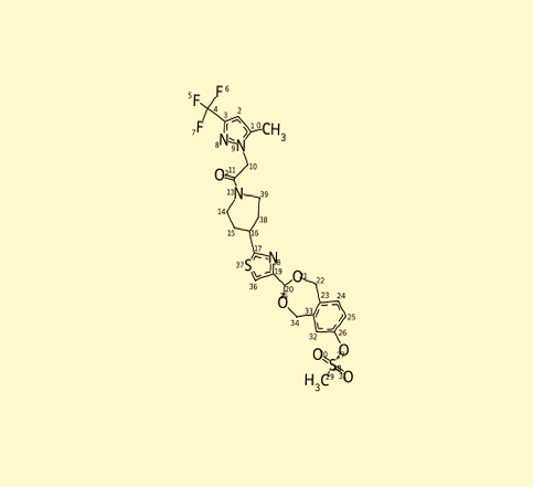 Cc1cc(C(F)(F)F)nn1CC(=O)N1CCC(c2nc(C3OCc4ccc(OS(C)(=O)=O)cc4CO3)cs2)CC1